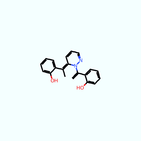 C=C(c1ccccc1O)N1N=CC=C/C1=C(/C)c1ccccc1O